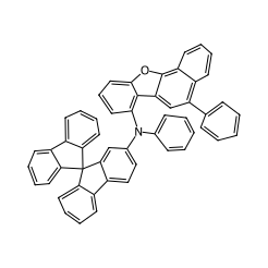 c1ccc(-c2cc3c(oc4cccc(N(c5ccccc5)c5ccc6c(c5)C5(c7ccccc7-c7ccccc75)c5ccccc5-6)c43)c3ccccc23)cc1